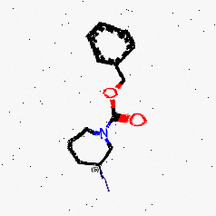 O=C(OCc1ccccc1)N1CCC[C@H](I)C1